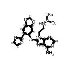 CC(C)(C)[S+]([O-])NCCn1c(Sc2cc3c(cc2-c2ncco2)OCO3)nc2c(N)ncnc21